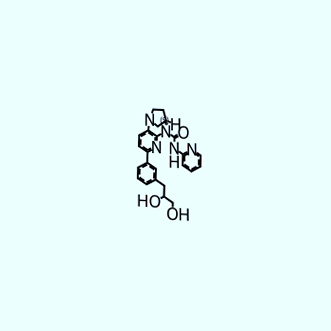 O=C(Nc1ccccn1)N1c2nc(-c3cccc(CC(O)CO)c3)ccc2N2CC[C@H]1C2